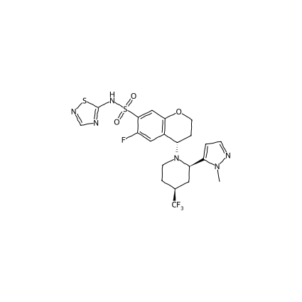 Cn1nccc1[C@H]1C[C@@H](C(F)(F)F)CCN1[C@H]1CCOc2cc(S(=O)(=O)Nc3ncns3)c(F)cc21